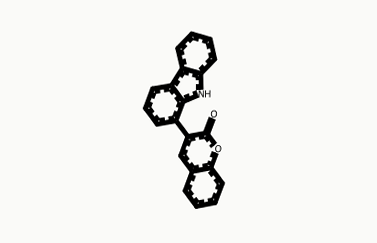 O=c1oc2ccccc2cc1-c1cccc2c1[nH]c1ccccc12